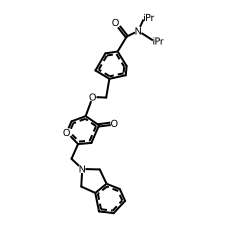 CC(C)N(C(=O)c1ccc(COc2coc(CN3Cc4ccccc4C3)cc2=O)cc1)C(C)C